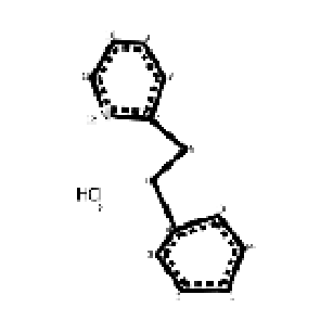 Cl.c1ccc(CCc2ccccn2)cc1